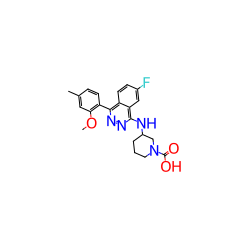 COc1cc(C)ccc1-c1nnc(NC2CCCN(C(=O)O)C2)c2cc(F)ccc12